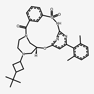 Cc1cccc(C)c1-c1cc2nc(n1)NS(=O)(=O)c1cccc(c1)C(=O)N1CCN(C3CC(C(C)(C)C)C3)C[C@H](C1)O2